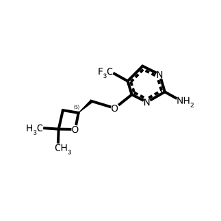 CC1(C)C[C@@H](COc2nc(N)ncc2C(F)(F)F)O1